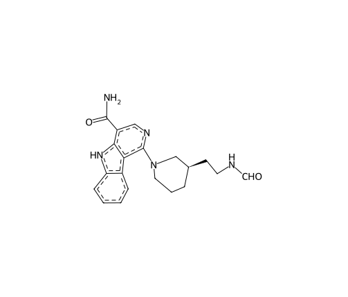 NC(=O)c1cnc(N2CCC[C@H](CCNC=O)C2)c2c1[nH]c1ccccc12